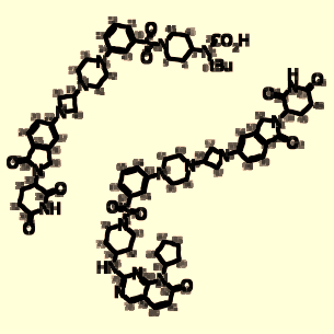 CC(C)(C)N(C(=O)O)C1CCN(S(=O)(=O)c2cccc(N3CCN(C4CN(c5ccc6c(c5)CN(C5CCC(=O)NC5=O)C6=O)C4)CC3)c2)CC1.O=C1CCC(N2Cc3cc(N4CC(N5CCN(c6cccc(S(=O)(=O)N7CCC(Nc8ncc9ccc(=O)n(C%10CCCC%10)c9n8)CC7)c6)CC5)C4)ccc3C2=O)C(=O)N1